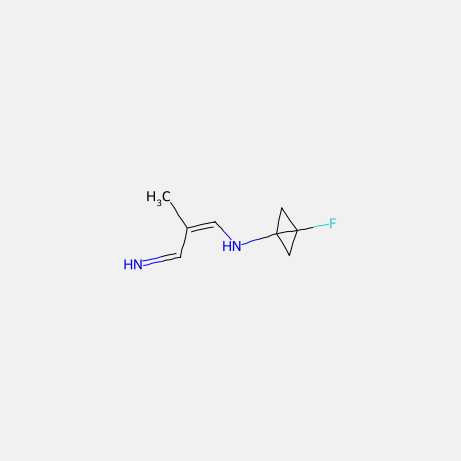 C/C(C=N)=C/NC12CC1(F)C2